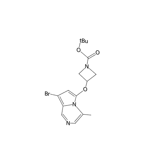 Cc1cncc2c(Br)cc(OC3CN(C(=O)OC(C)(C)C)C3)n12